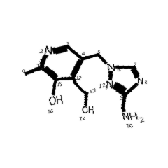 Cc1ncc(Cn2cnc(N)n2)c(CO)c1O